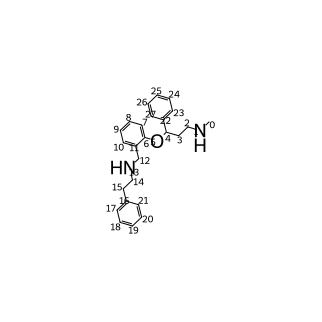 CNCCC(Oc1ccccc1CNCCc1ccccc1)c1ccccc1